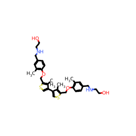 Cc1cc(CNCCO)ccc1OCc1scc(-c2csc(COc3ccc(CNCCO)cc3C)c2C)c1C